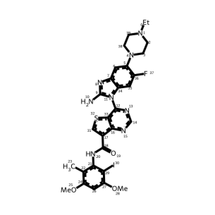 CCN1CCN(c2cc3nc(N)n(-c4ncnc5c(C(=O)Nc6c(C)c(OC)cc(OC)c6I)csc45)c3cc2F)CC1